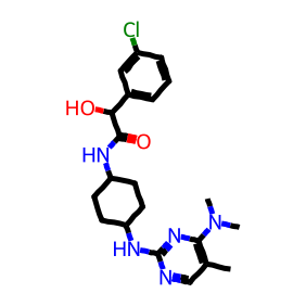 Cc1cnc(NC2CCC(NC(=O)C(O)c3cccc(Cl)c3)CC2)nc1N(C)C